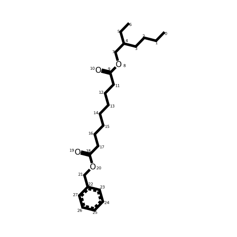 CCCCC(CC)COC(=O)CCCCCCCC(=O)OCc1ccccc1